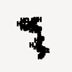 CCC1OC(n2cc(C#CCNC(=O)CCSSCCNC(=O)c3ccc(-c4c5ccc(=N)c(S(=O)(=O)O)c-5oc5c(S(=O)(=O)O)c(N)ccc45)c(C(=O)O)c3)c(N)nc2=O)CC1OCN=[N+]=[N-]